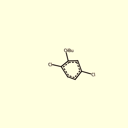 CC(C)COc1cc(Cl)c[c]c1Cl